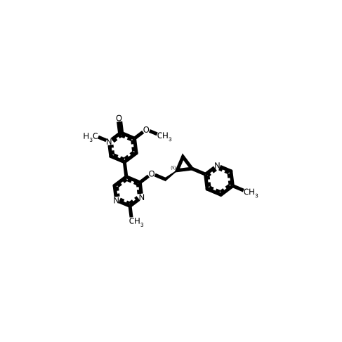 COc1cc(-c2cnc(C)nc2OC[C@H]2CC2c2ccc(C)cn2)cn(C)c1=O